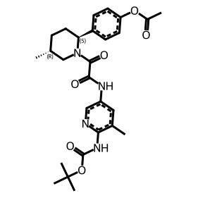 CC(=O)Oc1ccc([C@@H]2CC[C@@H](C)CN2C(=O)C(=O)Nc2cnc(NC(=O)OC(C)(C)C)c(C)c2)cc1